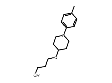 Cc1ccc(N2CCC(OCCCO)CC2)cc1